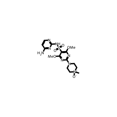 COc1nc(N2CC[N+](C)([O-])CC2)nc(OC)c1S(=O)(=O)Nc1nccc(N)n1